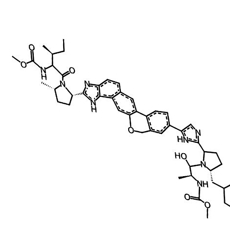 CC[C@H](C)C(NC(=O)OC)C(=O)N1[C@@H](C)CC[C@H]1c1nc2ccc3cc4c(cc3c2[nH]1)OCc1cc(-c2cnc(C3CC[C@H](CC5CCCOC5)N3C(O)[C@H](C)NC(=O)OC)[nH]2)ccc1-4